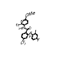 CCc1nc(OC)ccc1NC(=O)c1ccc(C(F)(F)F)cc1Nc1ccc(F)cc1C